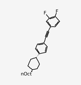 CCCCCCCC[C@H]1CC[C@H](c2ccc(C#Cc3ccc(F)c(F)c3)cc2)CC1